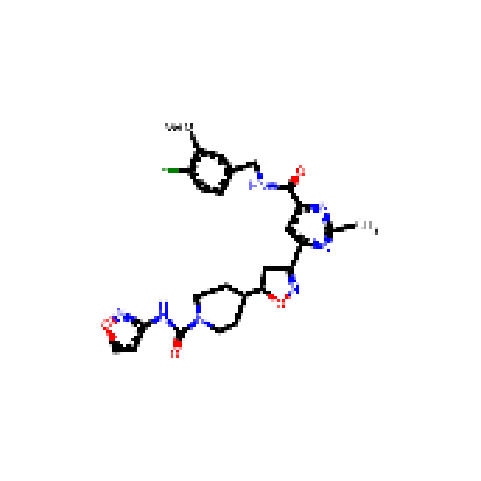 COc1cc(CNC(=O)c2cc(C3=NOC(C4CCN(C(=O)Nc5ccon5)CC4)C3)nc(C)n2)ccc1F